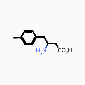 Cc1ccc(C[C@H](N)CC(=O)O)cc1